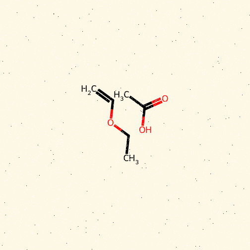 C=COCC.CC(=O)O